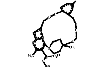 CCOC(=O)[C@@H](OC(C)(C)C)c1c(C)nc2cc3nn2c1N1CCC(C)(CC1)OCCCCc1cc(F)ccc1COC3